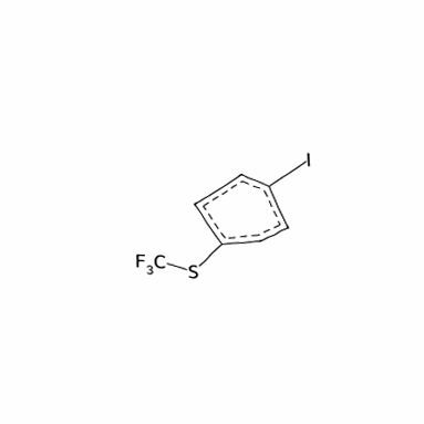 FC(F)(F)Sc1ccc(I)cc1